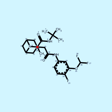 CC(C(=O)NC(C)(C)C)N1C2CC1CN(CC(=O)Nc1ccc(F)c(OC(F)F)c1)C2